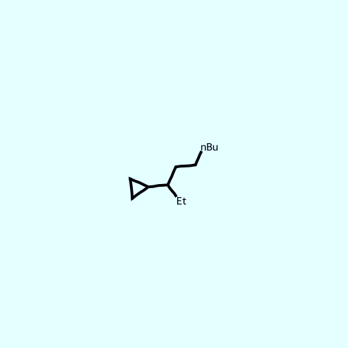 [CH2]CC(CCCCCC)C1CC1